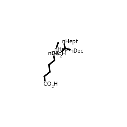 CCCCCCCC.CCCCCCCCCCC(CCCCCCC)CCCCCCCCCC.O=C(O)CCCCC(=O)O